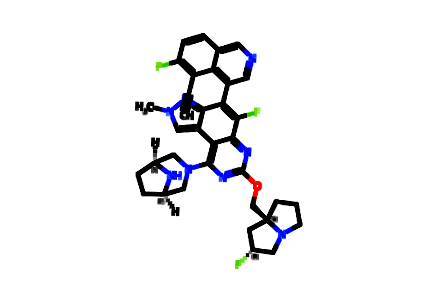 C#Cc1c(F)ccc2cncc(-c3c(F)c4nc(OC[C@@]56CCCN5C[C@H](F)C6)nc(N5C[C@H]6CC[C@@H](C5)N6)c4c4cn(C)nc34)c12